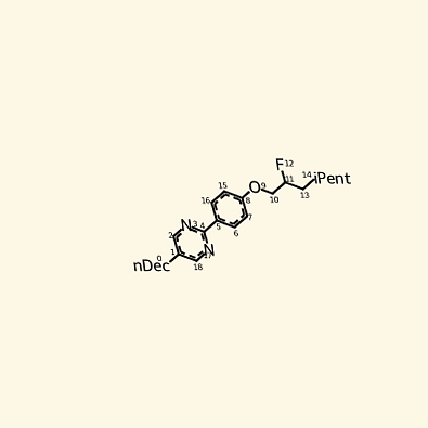 CCCCCCCCCCc1cnc(-c2ccc(OCC(F)CC(C)CCC)cc2)nc1